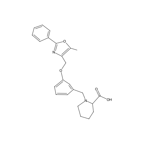 Cc1oc(-c2ccccc2)nc1COc1cccc(CN2CCCCC2C(=O)O)c1